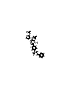 CC(=O)O[C@@H]1OCC[C@@H]1NC(=O)[C@H](CC(C)C)NC(=O)c1ccc(N(C=O)OCc2ccccc2)cc1